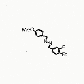 CCc1ccc(C=NN=Cc2ccc(OC)cc2)cc1F